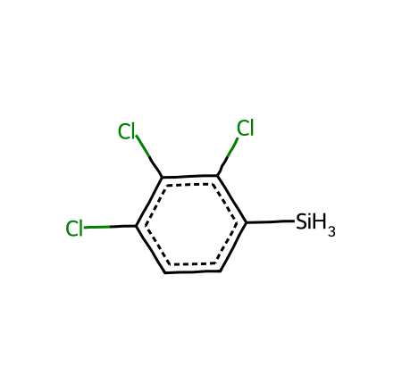 [SiH3]c1ccc(Cl)c(Cl)c1Cl